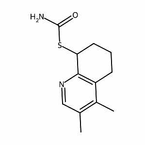 Cc1cnc2c(c1C)CCCC2SC(N)=O